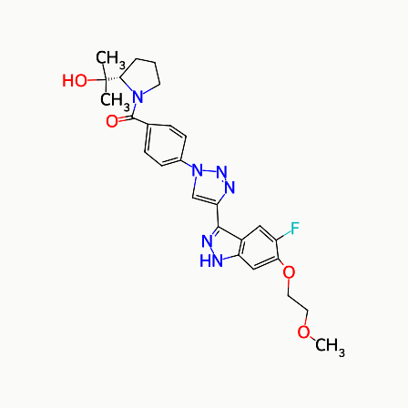 COCCOc1cc2[nH]nc(-c3cn(-c4ccc(C(=O)N5CCC[C@H]5C(C)(C)O)cc4)nn3)c2cc1F